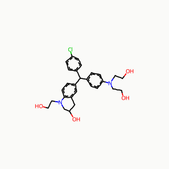 OCCN(CCO)c1ccc(C(c2ccc(Cl)cc2)c2ccc3c(c2)CC(O)CN3CCO)cc1